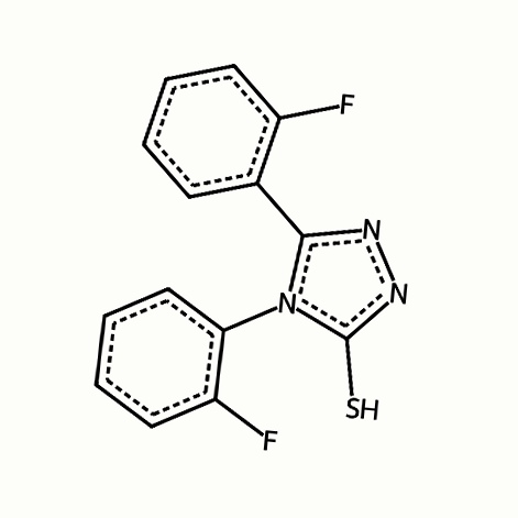 Fc1ccccc1-c1nnc(S)n1-c1ccccc1F